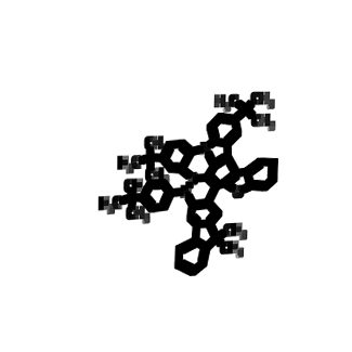 CC(C)(C)c1ccc(N2B3c4cc(C(C)(C)C)ccc4-n4c5ccc(C(C)(C)C)cc5c5c6c(oc7ccccc76)c(c3c54)-c3cc4c(cc32)-c2ccccc2C4(C)C)cc1